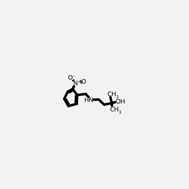 CC(C)(O)CCNCc1ccccc1[N+](=O)[O-]